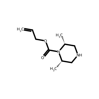 C=CCOC(=O)N1[C@H](C)CNC[C@@H]1C